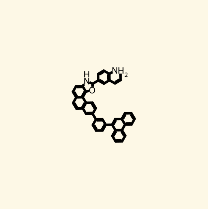 C/C=C\c1cc(C2Nc3ccc4ccc5cc(-c6cccc(-c7cc8ccccc8c8ccccc78)c6)ccc5c4c3O2)ccc1N